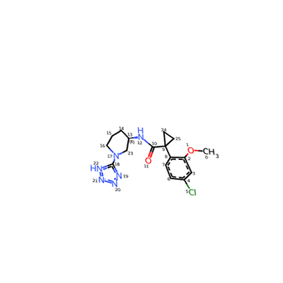 COc1cc(Cl)ccc1C1(C(=O)N[C@@H]2CCCN(c3nnn[nH]3)C2)CC1